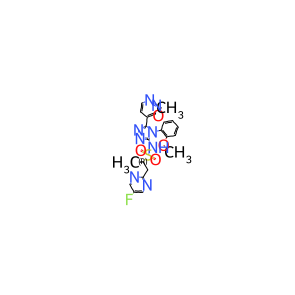 COc1cccc(OC)c1-n1c(NS(=O)(=O)[C@H](C)Cc2ncc(F)cn2)nnc1-c1ccnnc1